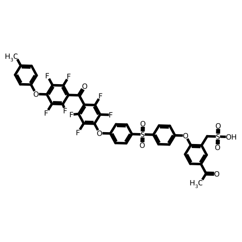 CC(=O)c1ccc(Oc2ccc(S(=O)(=O)c3ccc(Oc4c(F)c(F)c(C(=O)c5c(F)c(F)c(Oc6ccc(C)cc6)c(F)c5F)c(F)c4F)cc3)cc2)c(CS(=O)(=O)O)c1